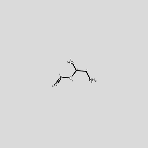 NCC(O)OP=O